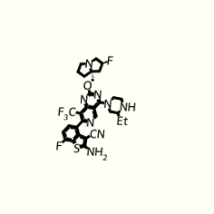 CCC1CN(c2nc(OC[C@]34CCCN3C[C@@H](F)C4)nc3c(C(F)(F)F)c(-c4ccc(F)c5sc(N)c(C#N)c45)ncc23)CCN1